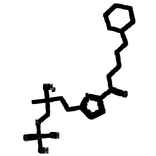 CC(N)(CCc1ccc(C(=O)CCCCC2CCCCC2)s1)COP(=O)(O)O